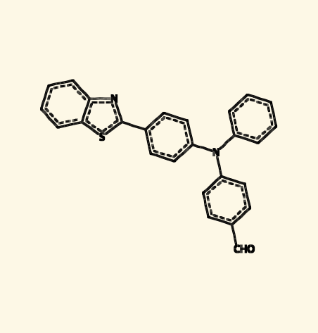 O=Cc1ccc(N(c2ccccc2)c2ccc(-c3nc4ccccc4s3)cc2)cc1